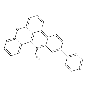 C[n+]1c2c3c(cccc3c3ccc(-c4ccncc4)cc31)Oc1ccccc1-2